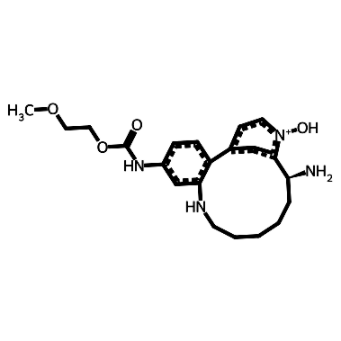 COCCOC(=O)Nc1ccc2c(c1)NCCCCC[C@H](N)c1cc-2cc[n+]1O